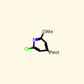 CCCC(C)c1cc(Cl)nc(OC)c1